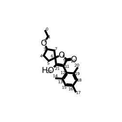 CCOC1CCC2(C1)OC(=O)C(c1c(C)cc(C)cc1C)=C2O